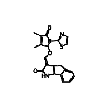 CC1=C(C)C(O/C=C2/C(=O)NC3c4ccccc4CC23)N(c2nccs2)C1=O